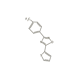 FC(F)(F)c1ccc(-c2noc(-c3cccs3)n2)cc1